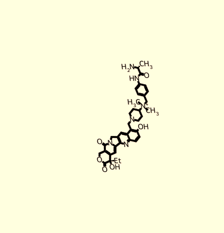 CC[C@@]1(O)C(=O)OCc2c1cc1n(c2=O)Cc2cc3c(CN4CCC([N+](C)(C)Cc5ccc(NC(=O)[C@H](C)N)cc5)CC4)c(O)ccc3nc2-1